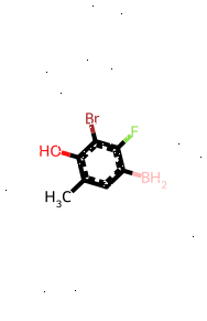 Bc1cc(C)c(O)c(Br)c1F